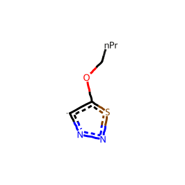 CCCCOc1[c]nns1